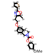 COc1ccc(OC(=O)N(CC(=O)O)Cc2ccc(OCCc3nc(-c4cccs4)oc3C)cc2)cc1